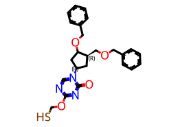 O=c1nc(OCS)ncn1[C@H]1CC(OCc2ccccc2)[C@@H](COCc2ccccc2)C1